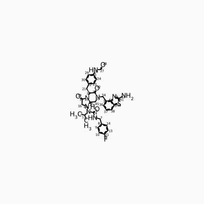 CC(C)N(C(=O)NCc1ccc(F)cc1)N1CC(=O)N2[C@@H](Cc3ccc(NC=O)cc3)C(=O)N(Cc3cccc4sc(N)nc34)C[C@@H]21